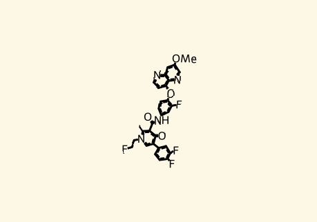 COc1cnc2c(Oc3ccc(NC(=O)c4c(C)n(CCF)cc(-c5ccc(F)c(F)c5)c4=O)cc3F)ccnc2c1